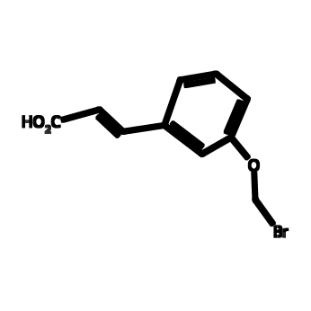 O=C(O)C=Cc1cccc(OCBr)c1